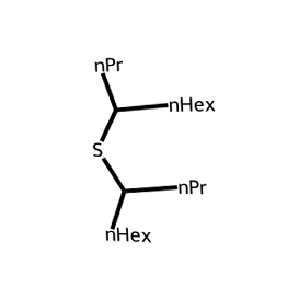 CCCCCCC(CCC)SC(CCC)CCCCCC